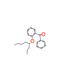 CCCCC(CCC)Oc1ccccc1C(=O)c1ccccc1